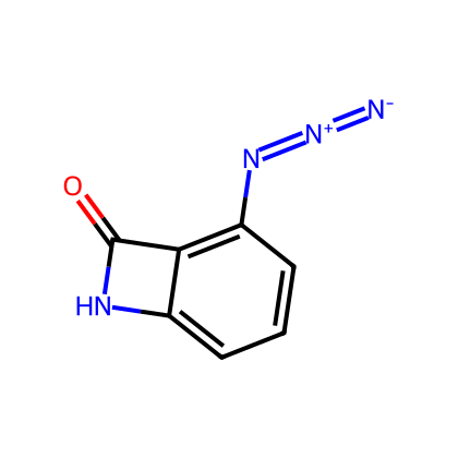 [N-]=[N+]=Nc1cccc2c1C(=O)N2